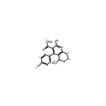 COC(=O)c1c(C(C)C)nc2c(c1-c1ccc(F)cc1)C(O)CCC2